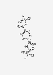 CS(=O)(=O)CC(=O)c1ccc(-c2noc(C(F)(F)Cl)n2)cc1